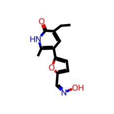 CCc1cc(-c2ccc(/C=N\O)o2)c(C)[nH]c1=O